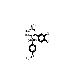 CN(C)C[C@H](c1ccc(Cl)c(Cl)c1)N(C)S(=O)(=O)c1ccc(OC(F)(F)F)cc1